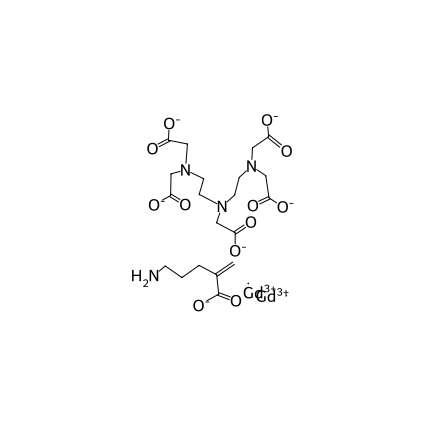 C=C(CCCN)C(=O)[O-].O=C([O-])CN(CCN(CC(=O)[O-])CC(=O)[O-])CCN(CC(=O)[O-])CC(=O)[O-].[Gd+3].[Gd+3]